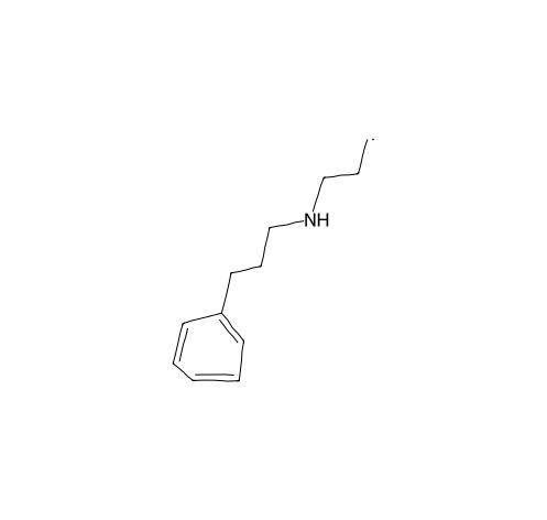 [CH2]CCNCCCc1ccccc1